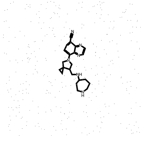 N#Cc1ccc(N2CC(CNC3CCCNCC3)C3(CC3)C2)c2nccnc12